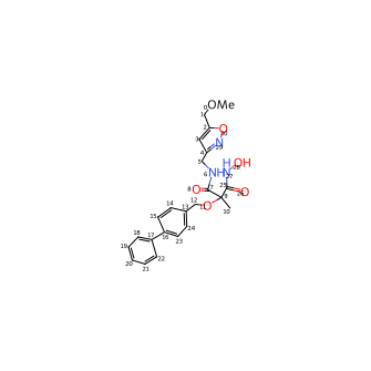 COCc1cc(CNC(=O)C(C)(OCc2ccc(-c3ccccc3)cc2)C(=O)NO)no1